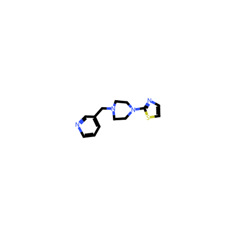 c1cncc(CN2CCN(c3nccs3)CC2)c1